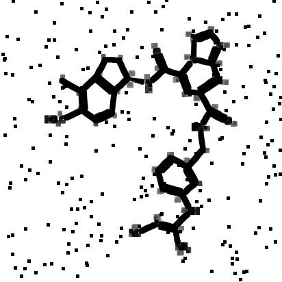 Cc1c(C(=O)O)ccc2c1CC[C@@H]2NC(=O)c1cc(C(=O)NCc2cccc(NC(N)=NC#N)c2)nc2ncnn12